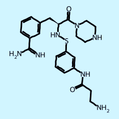 N=C(N)c1cccc(C[C@H](NSc2cccc(NC(=O)CCN)c2)C(=O)N2CCNCC2)c1